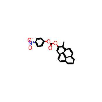 Cc1c(OC(=O)Oc2ccc([N+](=O)[O-])cc2)cc2ccc3cccc4ccc1c2c34